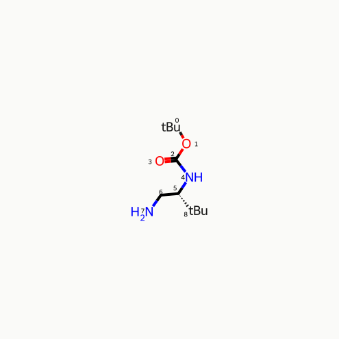 CC(C)(C)OC(=O)N[C@@H](CN)C(C)(C)C